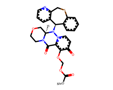 COC(=O)OCOc1c2n(ccc1=O)N([C@@H]1c3ccccc3SCc3ncccc31)[C@@H]1COCCN1C2=O